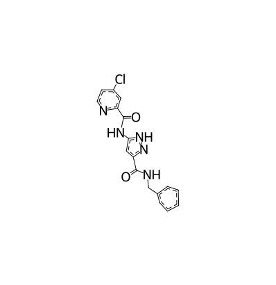 O=C(NCc1ccccc1)c1cc(NC(=O)c2cc(Cl)ccn2)[nH]n1